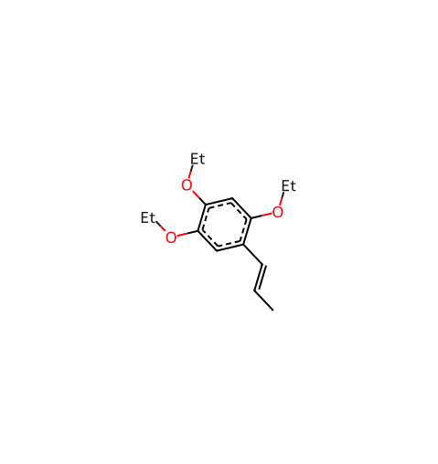 CC=Cc1cc(OCC)c(OCC)cc1OCC